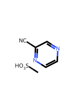 CS(=O)(=O)O.N#Cc1cnccn1